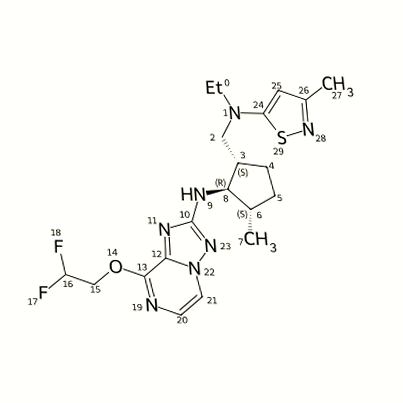 CCN(C[C@@H]1CC[C@H](C)[C@H]1Nc1nc2c(OCC(F)F)nccn2n1)c1cc(C)ns1